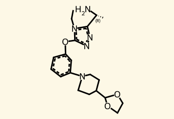 CCn1c(Oc2cccc(N3CCC(C4OCCO4)CC3)c2)nnc1[C@@H](C)N